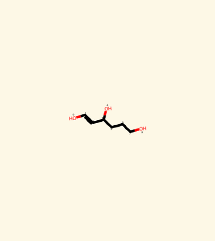 O/C=C/C(O)CCCO